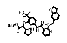 CC(C)(C)OC(=O)C(Oc1cc(NC(=O)c2cccnc2NCc2ccc3c(c2)OCC3)ccc1C(F)(F)C(F)(F)F)C1CCCN1